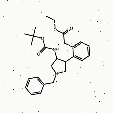 CCOC(=O)Cc1ccccc1C1CN(Cc2ccccc2)CC1NC(=O)OC(C)(C)C